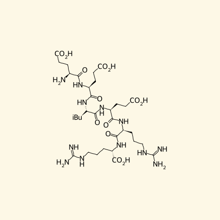 CC[C@H](C)[C@H](NC(=O)[C@H](CCC(=O)O)NC(=O)[C@@H](N)CCC(=O)O)C(=O)N[C@@H](CCC(=O)O)C(=O)N[C@@H](CCCNC(=N)N)C(=O)N[C@@H](CCCNC(=N)N)C(=O)O